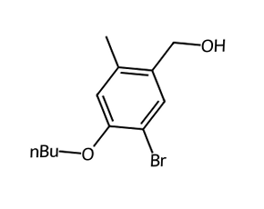 CCCCOc1cc(C)c(CO)cc1Br